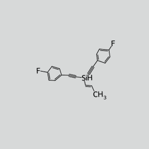 CC=C[SiH](C#Cc1ccc(F)cc1)C#Cc1ccc(F)cc1